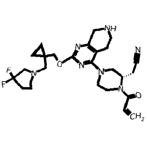 C=CC(=O)N1CCN(c2nc(OCC3(CN4CCC(F)(F)C4)CC3)nc3c2CCNC3)C[C@@H]1CC#N